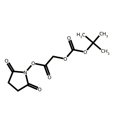 CC(C)(C)OC(=O)OCC(=O)ON1C(=O)CCC1=O